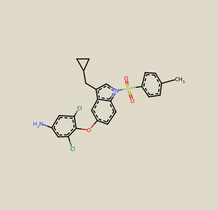 Cc1ccc(S(=O)(=O)n2cc(CC3CC3)c3cc(Oc4c(Cl)cc(N)cc4Cl)ccc32)cc1